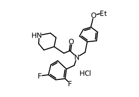 CCOc1ccc(CN(Cc2ccc(F)cc2F)C(=O)CC2CCNCC2)cc1.Cl